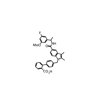 COc1cc(F)cc(C(C)NC(=O)c2ccc3c(c2)c(C)c(C)n3Cc2ccc(-c3ccccc3C(=O)O)cc2)c1